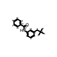 CC(C)(C)Cc1cccc(NC(=O)c2ccccc2)c1